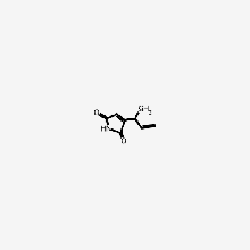 C=CC([SiH3])C1=CC(=O)NC1=O